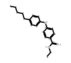 CCCCCc1ccc(Oc2ccc(C(=O)OCC)cc2)cc1